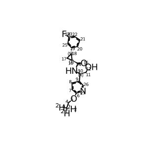 [2H]C([2H])([2H])COc1ccc([C@H](CO)NC(=O)[C@H]2C[C@@H]2c2cccc(F)c2)cn1